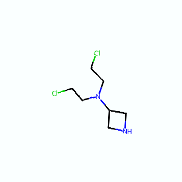 ClCCN(CCCl)C1CNC1